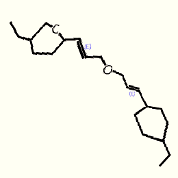 CCC1CCC(/C=C/COC/C=C/C2CCC(CC)CC2)CC1